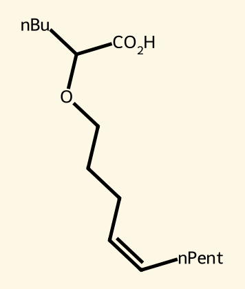 CCCCC/C=C\CCCOC(CCCC)C(=O)O